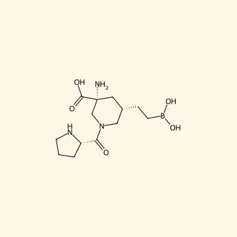 N[C@]1(C(=O)O)C[C@H](CCB(O)O)CN(C(=O)[C@@H]2CCCN2)C1